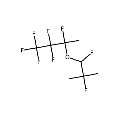 CC(C)(F)C(F)OC(C)(F)C(F)(F)C(F)(F)F